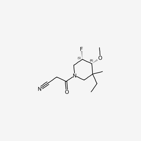 CCC1(C)CN(C(=O)CC#N)C[C@H](F)[C@@H]1OC